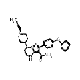 CC#CN1CCC([C@@H]2CCNc3c(C(N)=O)c(-c4ccc(Oc5ccccc5)cc4)nn32)CC1